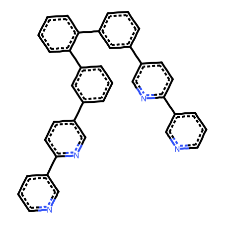 c1cncc(-c2ccc(-c3cccc(-c4ccccc4-c4cccc(-c5ccc(-c6cccnc6)nc5)c4)c3)cn2)c1